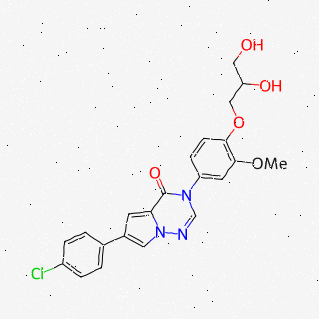 COc1cc(-n2cnn3cc(-c4ccc(Cl)cc4)cc3c2=O)ccc1OCC(O)CO